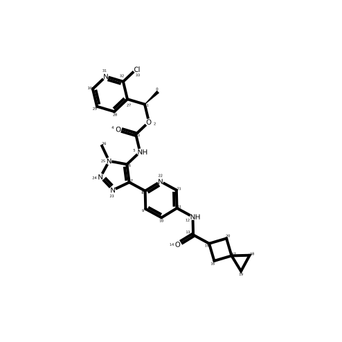 C[C@@H](OC(=O)Nc1c(-c2ccc(NC(=O)C3CC4(CC4)C3)cn2)nnn1C)c1cccnc1Cl